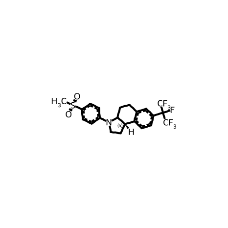 CS(=O)(=O)c1ccc(N2CC[C@H]3c4ccc(C(F)(C(F)(F)F)C(F)(F)F)cc4CCC32)cc1